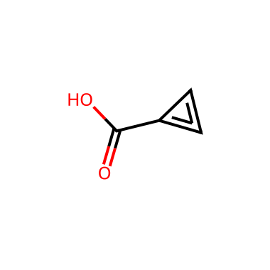 O=C(O)C1=C=C1